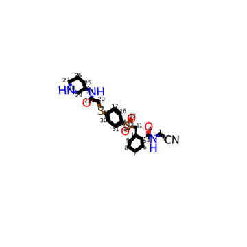 N#CCNC(=O)[C@@H]1CCCC[C@H]1CS(=O)(=O)c1ccc(SCC(=O)NC2CCCNC2)cc1